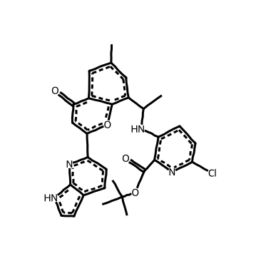 Cc1cc(C(C)Nc2ccc(Cl)nc2C(=O)OC(C)(C)C)c2oc(-c3ccc4cc[nH]c4n3)cc(=O)c2c1